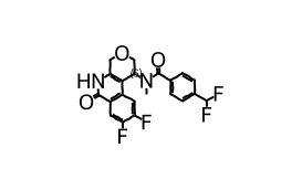 CN(C(=O)c1ccc(C(F)F)cc1)[C@@H]1COCc2[nH]c(=O)c3cc(F)c(F)cc3c21